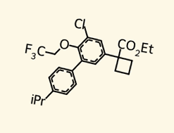 CCOC(=O)C1(c2cc(Cl)c(OCC(F)(F)F)c(-c3ccc(C(C)C)cc3)c2)CCC1